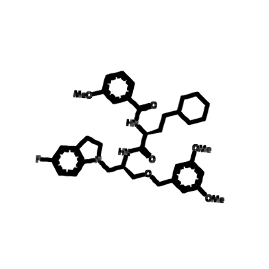 COc1cc(COC[C@@H](CN2CCc3cc(F)ccc32)NC(=O)[C@H](CCC2CCCCC2)NC(=O)c2cccc(OC)c2)cc(OC)c1